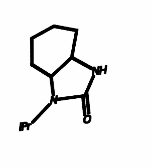 CC(C)N1C(=O)NC2CCCCC21